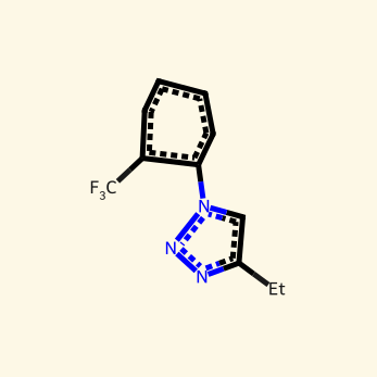 CCc1cn(-c2ccccc2C(F)(F)F)nn1